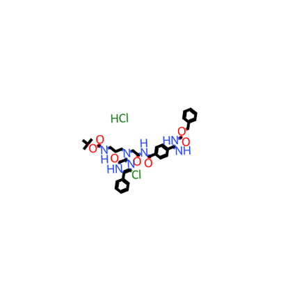 CC(C)(C)OC(=O)NCCCN(CC(=O)NC(=O)c1ccc(C(=N)NC(=O)OCc2ccccc2)cc1)c1nc(Cl)c(-c2ccccc2)[nH]c1=O.Cl